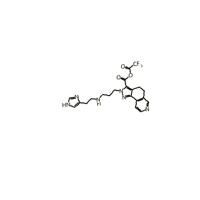 O=C(OC(=O)C(F)(F)F)c1c2c(nn1CCCNCCc1c[nH]cn1)-c1ccncc1CC2